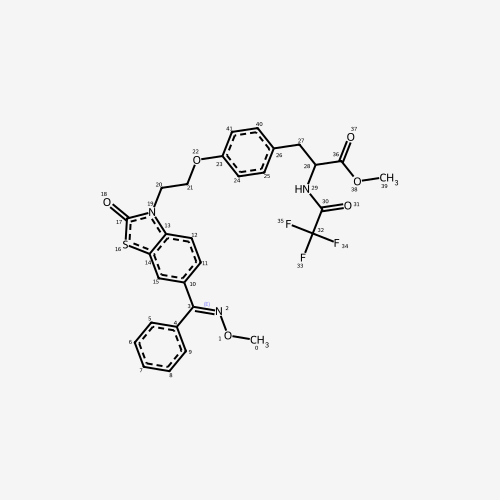 CO/N=C(\c1ccccc1)c1ccc2c(c1)sc(=O)n2CCOc1ccc(CC(NC(=O)C(F)(F)F)C(=O)OC)cc1